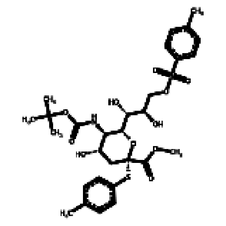 COC(=O)[C@@]1(Sc2ccc(C)cc2)C[C@H](O)[C@@H](NC(=O)OC(C)(C)C)[C@H]([C@H](O)[C@H](O)COS(=O)(=O)c2ccc(C)cc2)O1